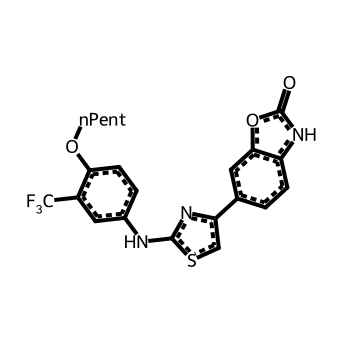 CCCCCOc1ccc(Nc2nc(-c3ccc4[nH]c(=O)oc4c3)cs2)cc1C(F)(F)F